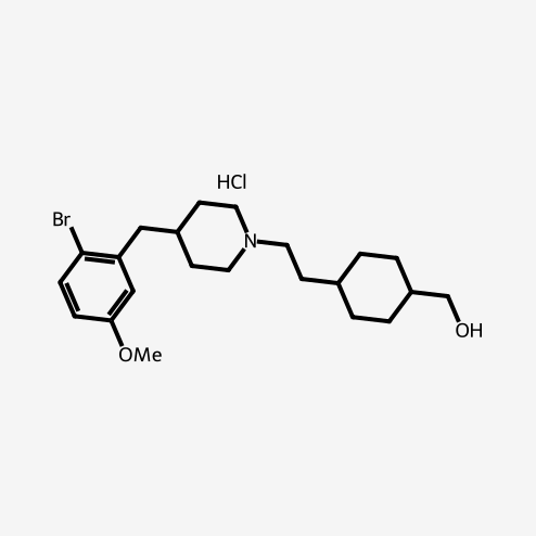 COc1ccc(Br)c(CC2CCN(CCC3CCC(CO)CC3)CC2)c1.Cl